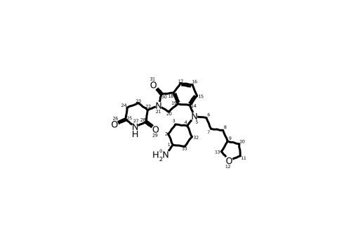 NC1CCC(N(CCCC2CCOC2)c2cccc3c2CN(C2CCC(=O)NC2=O)C3=O)CC1